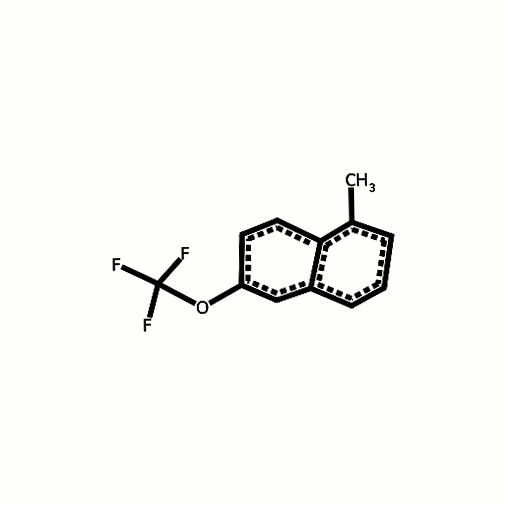 Cc1cccc2cc(OC(F)(F)F)ccc12